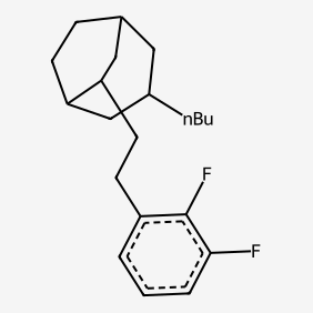 CCCCC1CC2CCC(C1)C(CCc1cccc(F)c1F)C2